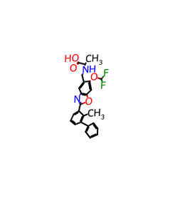 Cc1c(-c2ccccc2)cccc1-c1nc2cc(CNC(C)C(=O)O)c(OC(F)F)cc2o1